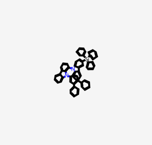 c1ccc(-c2ccc(-n3c4ccccc4c4cccc(-n5c6ccccc6c6cc([Si](c7ccccc7)(c7ccccc7)c7ccccc7)ccc65)c43)cc2-c2ccccc2)cc1